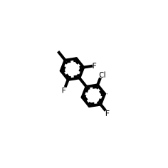 Cc1cc(F)c(-c2ccc(F)[c]c2Cl)c(F)c1